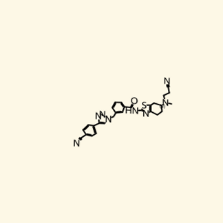 CN(CCC#N)[C@H]1CCc2nc(NC(=O)c3cccc(Cn4cc(-c5ccc(C#N)cc5)nn4)c3)sc2C1